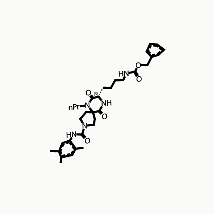 CCCN1C(=O)[C@H](CCCCNC(=O)OCc2ccccc2)NC(=O)C12CCN(C(=O)Nc1cc(C)c(C)cc1C)CC2